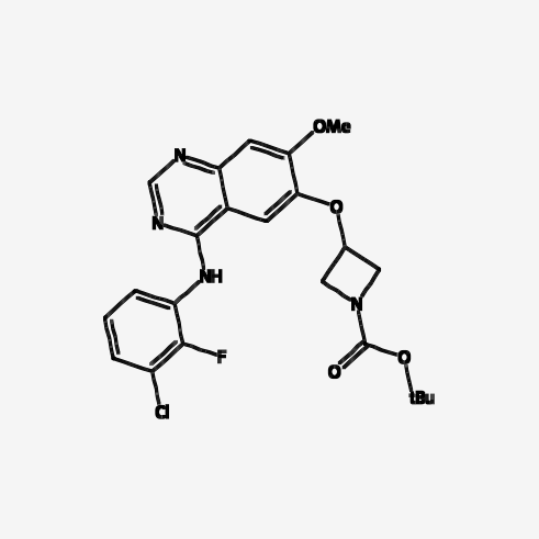 COc1cc2ncnc(Nc3cccc(Cl)c3F)c2cc1OC1CN(C(=O)OC(C)(C)C)C1